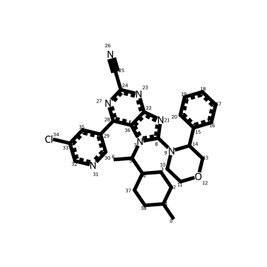 CC1CCC(C(C)n2c(N3CCOCC3c3ccccc3)nc3nc(C#N)nc(-c4cncc(Cl)c4)c32)CC1